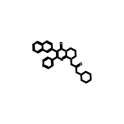 O=C(CC1CCCCC1)CN1CCCn2c1nc(-c1ccncc1)c(-c1ccc3ccccc3c1)c2=O